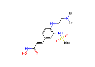 CCCCS(=O)(=O)Nc1cc(/C=C/C(=O)NO)ccc1NCCN(CC)CC